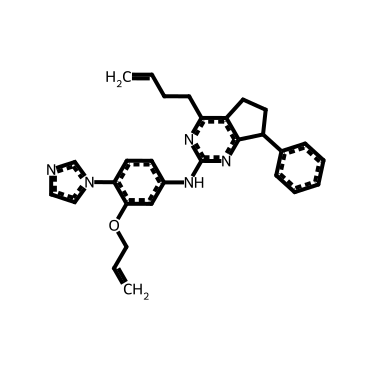 C=CCCc1nc(Nc2ccc(-n3ccnc3)c(OCC=C)c2)nc2c1CCC2c1ccccc1